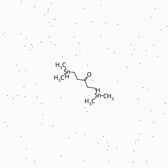 [CH3][SnH]([CH3])[CH2]CC(=O)C[CH2][SnH]([CH3])[CH3]